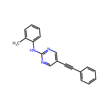 Cc1ccccc1Nc1ncc(C#Cc2ccccc2)cn1